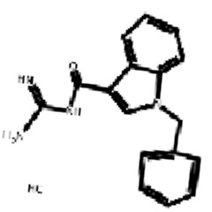 Cl.N=C(N)NC(=O)c1cn(Cc2ccccc2)c2ccccc12